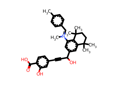 Cc1ccc(CN(C)c2cc(C(O)C#Cc3ccc(C(=O)O)c(O)c3)cc3c2C(C)(C)CCC3(C)C)cc1